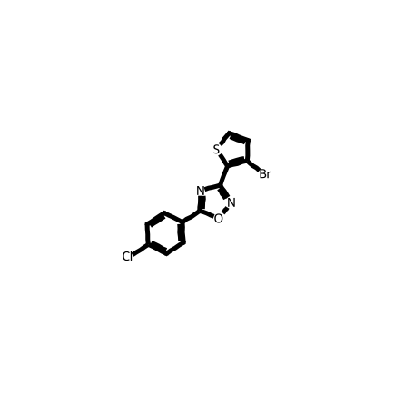 Clc1ccc(-c2nc(-c3sccc3Br)no2)cc1